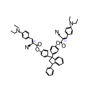 CCN(CC)c1ccc(/C=C(\C#N)C(=O)Oc2ccc(C3(c4ccc(OC(=O)/C(C#N)=C/c5ccc(N(CC)CC)cc5)cc4)CC(c4ccccc4)c4ccccc43)cc2)cc1